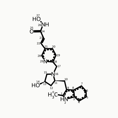 Cc1[nH]c2ccccc2c1C[C@H]1C[C@@H](O)CN1Cc1ccc(C=CC(=O)NO)cn1